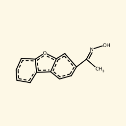 CC(=NO)c1ccc2c(c1)oc1ccccc12